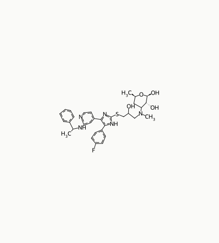 CC(Nc1cc(-c2nc(SCC(O)CN(C)C3C[C@@H](C)O[C@@H](O)[C@@H]3O)[nH]c2-c2ccc(F)cc2)ccn1)c1ccccc1